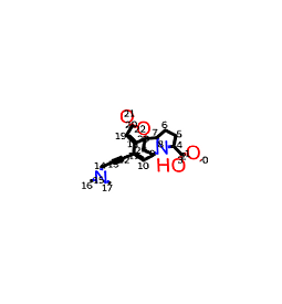 COC(O)C1CCC2N1C1C=C(C#CCN(C)C)C3=CC(=O)OC32C1